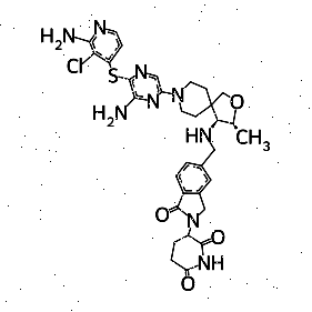 C[C@@H]1OCC2(CCN(c3cnc(Sc4ccnc(N)c4Cl)c(N)n3)CC2)[C@@H]1NCc1ccc2c(c1)CN(C1CCC(=O)NC1=O)C2=O